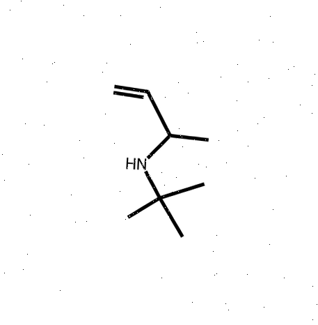 C=CC(C)NC(C)(C)C